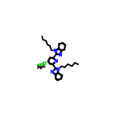 CCCCCCn1c(-c2cccc(-c3nc4ccccc4n3CCCCCC)n2)nc2ccccc21.[Cl-].[Cl-].[Cl-].[Fe+3]